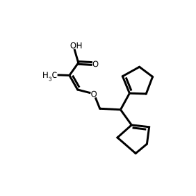 CC(=COCC(C1=CCCC1)C1=CCCC1)C(=O)O